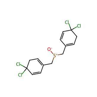 [O-][S+](CC1=CCC(Cl)(Cl)C=C1)CC1=CCC(Cl)(Cl)C=C1